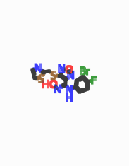 O/N=C(/Nc1ccc(F)c(Br)c1)c1nonc1SCc1nccs1